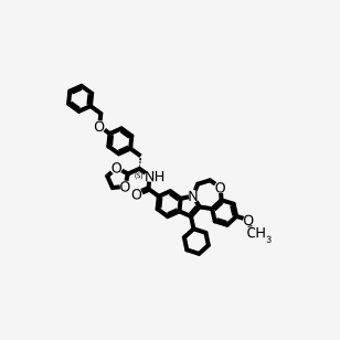 COc1ccc2c(c1)OCCn1c-2c(C2CCCCC2)c2ccc(C(=O)N[C@@H](Cc3ccc(OCc4ccccc4)cc3)C3OCCO3)cc21